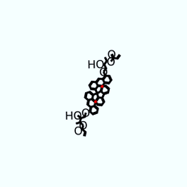 C=CC(=O)OC(C)C(O)COc1cccc2cc3c(C4(c5cccc6cc7c(OCC(O)C(C)OC(=O)C=C)cccc7cc56)c5ccccc5-c5ccccc54)cccc3cc12